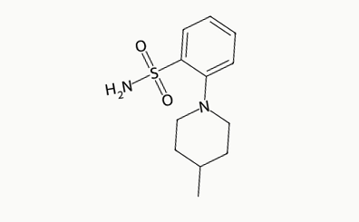 CC1CCN(c2ccccc2S(N)(=O)=O)CC1